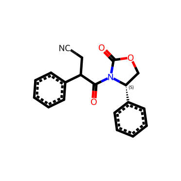 N#CCC(C(=O)N1C(=O)OC[C@@H]1c1ccccc1)c1ccccc1